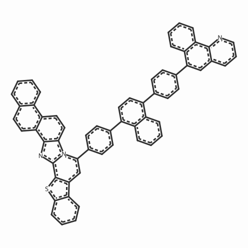 c1ccc2c(c1)ccc1c2ccc2c1nc1c3sc4ccccc4c3cc(-c3ccc(-c4ccc(-c5ccc(-c6cc7cccnc7c7ccccc67)cc5)c5ccccc45)cc3)n21